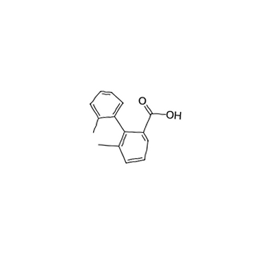 Cc1ccccc1-c1c(C)cccc1C(=O)O